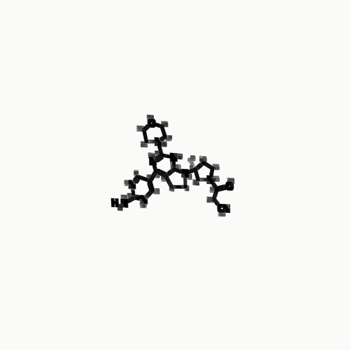 C[C@]1(N2CCc3c(-c4cnc(N)nc4)nc(N4CCOCC4)nc32)CCN(C(=O)CC#N)C1